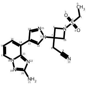 CCS(=O)(=O)N1CC(CC#N)(n2cc(-c3cccn4nc(N)nc34)cn2)C1